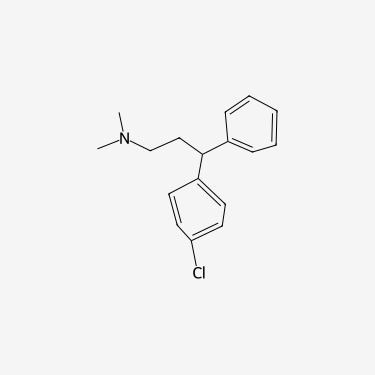 CN(C)CCC(c1ccccc1)c1ccc(Cl)cc1